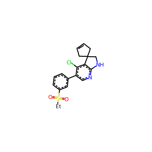 CCS(=O)(=O)c1cccc(-c2cnc3c(c2Cl)C2(CC=CC2)CN3)c1